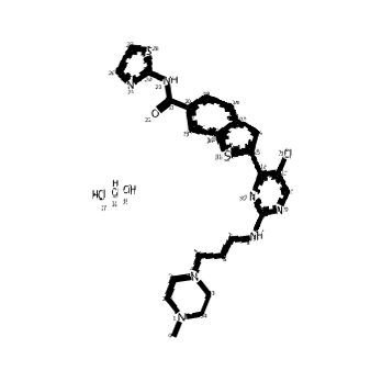 CN1CCN(CCCNc2ncc(Cl)c(-c3cc4ccc(C(=O)Nc5nccs5)cc4s3)n2)CC1.Cl.Cl.Cl